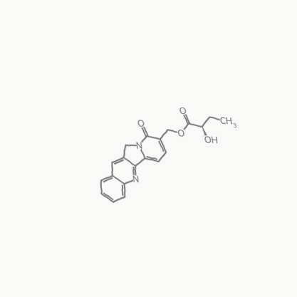 CC[C@@H](O)C(=O)OCc1ccc2n(c1=O)Cc1cc3ccccc3nc1-2